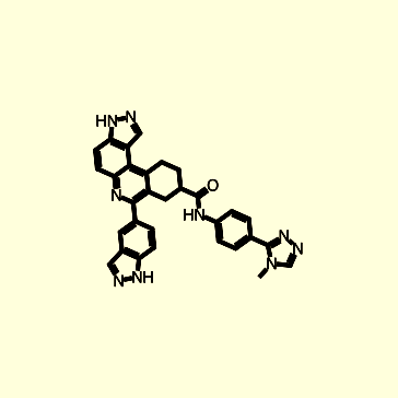 Cn1cnnc1-c1ccc(NC(=O)C2CCc3c(c(-c4ccc5[nH]ncc5c4)nc4ccc5[nH]ncc5c34)C2)cc1